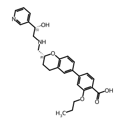 CCCOc1cc(-c2ccc3c(c2)CC[C@H](CNC[C@@H](O)c2cccnc2)O3)ccc1C(=O)O